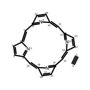 C#C.C1=CC2=NC1=CC1=NC(=CC3=NC(=CC4=NC(=C2)C=C4)C=C3)C=C1